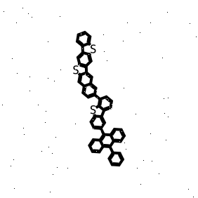 c1ccc(-c2c3ccccc3c(-c3ccc4sc5c(-c6ccc7cc8sc9cc%10c(cc9c8cc7c6)sc6ccccc6%10)cccc5c4c3)c3ccccc23)cc1